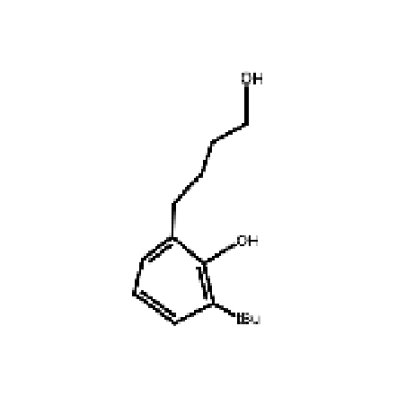 CC(C)(C)c1cccc(CCCCO)c1O